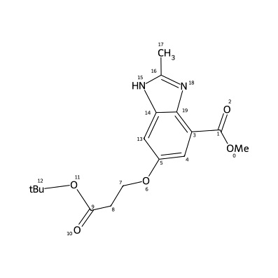 COC(=O)c1cc(OCCC(=O)OC(C)(C)C)cc2[nH]c(C)nc12